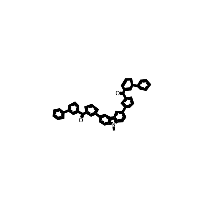 Cn1c2ccc(-c3cccc(C(=O)C4=CC(c5ccccc5)CC=C4)c3)cc2c2cc(-c3cccc(C(=O)c4cccc(-c5ccccc5)c4)c3)ccc21